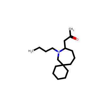 CCCCN1CC2(CCCCC2)CCCC1CC(C)=O